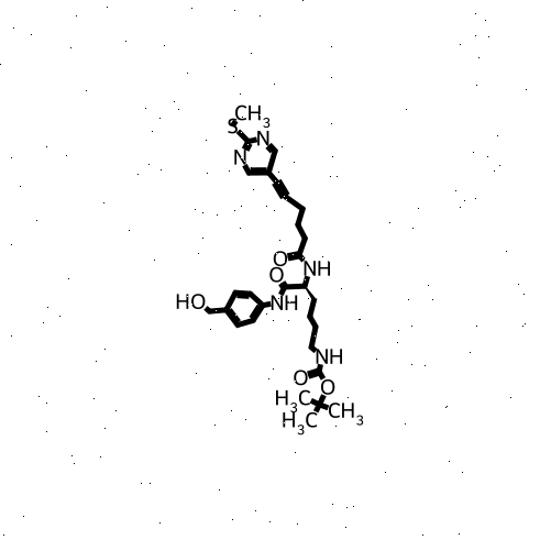 CSc1ncc(C#CCCCC(=O)N[C@@H](CCCCNC(=O)OC(C)(C)C)C(=O)Nc2ccc(CO)cc2)cn1